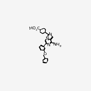 Nc1nc(-c2cccc(OCc3ccccc3)c2)cn2c(C3CCC(C(=O)O)CC3)ncc12